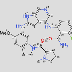 COc1cc2c(cc1Nc1cc3c(Nc4cccc(F)c4C(N)=O)cncc3[nH]1)N(C(=O)[C@H]1CCCN1C)CC2